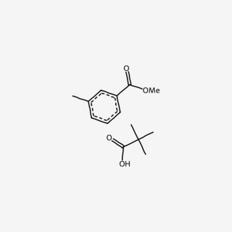 CC(C)(C)C(=O)O.COC(=O)c1cccc(C)c1